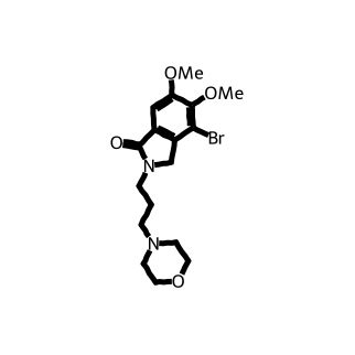 COc1cc2c(c(Br)c1OC)CN(CCCN1CCOCC1)C2=O